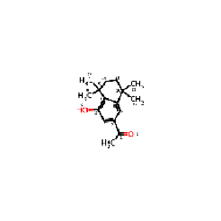 CC(=O)c1cc(O)c2c(c1)C(C)(C)CCC2(C)C